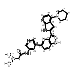 CN(C)CC(=O)Nc1cncc(-c2ccc3[nH]nc(-c4cc5c(N6CCCCC6)ccnc5[nH]4)c3n2)c1